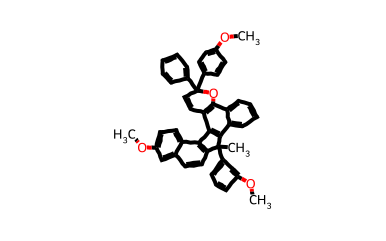 COc1ccc(C2(c3ccccc3)C=Cc3c4c(c5ccccc5c3O2)C(C)(c2cccc(OC)c2)c2ccc3cc(OC)ccc3c2-4)cc1